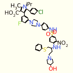 Cc1c(C(=O)O)c(-c2cc(F)cc(N3CCN(c4ccc(NS(=O)(=O)c5ccc(NC(CCN6CCC(O)CC6)CSc6ccccc6)c([N+](=O)[O-])c5)cc4)CC3)c2)c(-c2ccc(Cl)cc2)n1C(C)C